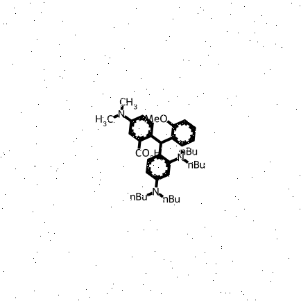 CCCCN(CCCC)c1ccc(C(c2ccccc2OC)c2ccc(N(C)C)cc2C(=O)O)c(N(CCCC)CCCC)c1